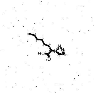 CCCCCCC(C(=O)O)n1ccnn1